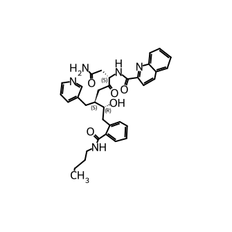 CCCCNC(=O)c1ccccc1C[C@@H](O)[C@H](CC(=O)[C@H](CC(N)=O)NC(=O)c1ccc2ccccc2n1)Cc1cccnc1